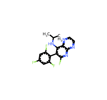 CC(C)Nc1c(-c2c(F)cc(F)cc2F)c(F)nc2nccnc12